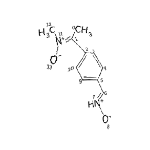 CC(c1ccc(C=[NH+][O-])cc1)=[N+](C)[O-]